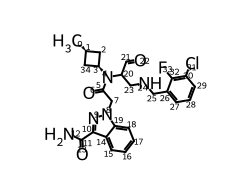 C[C@H]1C[C@@H](N(C(=O)Cn2nc(C(N)=O)c3ccccc32)C(C=O)CNCc2cccc(Cl)c2F)C1